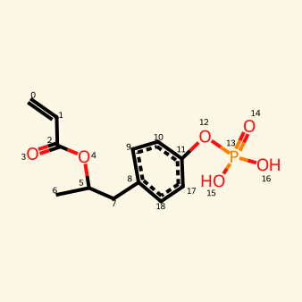 C=CC(=O)OC(C)Cc1ccc(OP(=O)(O)O)cc1